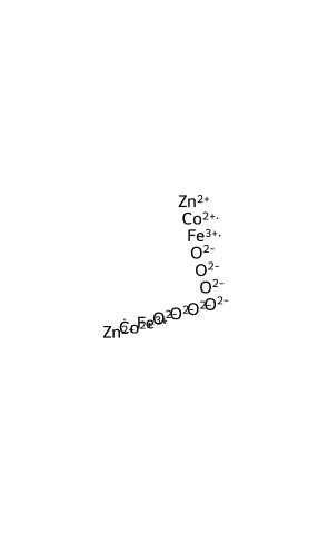 [Co+2].[Co+2].[Fe+3].[Fe+3].[O-2].[O-2].[O-2].[O-2].[O-2].[O-2].[O-2].[Zn+2].[Zn+2]